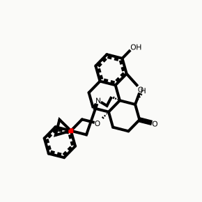 O=C1CC[C@@]2(OCc3ccccc3)C3Cc4ccc(O)c5c4[C@@]2(CCN3CC2CC2)[C@H]1O5